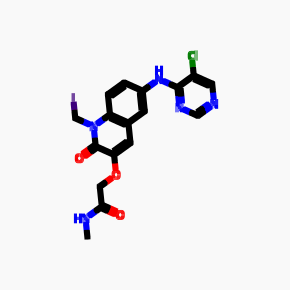 CNC(=O)COc1cc2cc(Nc3ncncc3Cl)ccc2n(CI)c1=O